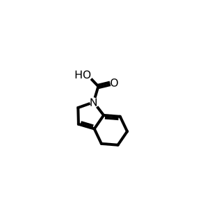 O=C(O)N1CC=C2CCCC=C21